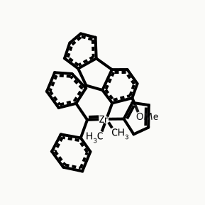 COc1ccc2c([c]1[Zr]([CH3])([CH3])([C]1=CC=CC1)=[C](c1ccccc1)c1ccccc1)Cc1ccccc1-2